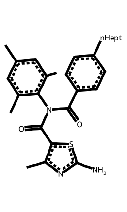 CCCCCCCc1ccc(C(=O)N(C(=O)c2sc(N)nc2C)c2c(C)cc(C)cc2C)cc1